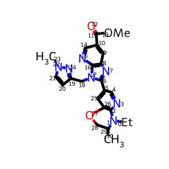 CCN1c2ncc(-c3nc4cc(C(=O)OC)cnc4n3Cc3ccn(C)n3)cc2OCC1C